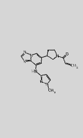 C=CC(=O)N1CCC(c2cc(Nc3ccn(C)n3)c3ncnn3c2)C1